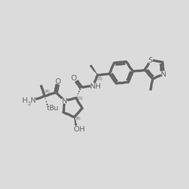 Cc1ncsc1-c1ccc([C@H](C)NC(=O)[C@@H]2C[C@@H](O)CN2C(=O)[C@](C)(N)C(C)(C)C)cc1